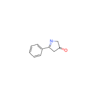 O=C1CN=C(c2ccccc2)C1